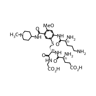 COc1cc(NC(=O)[C@@H](N)CCCN)c(SC[C@H](NC(=O)[C@@H](N)CCC(=O)O)C(=O)NCC(=O)O)cc1C(=O)NC1CCN(C)CC1